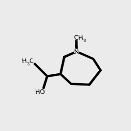 CC(O)C1CCCCN(C)C1